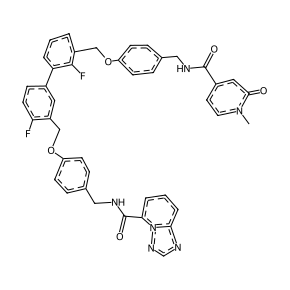 Cn1ccc(C(=O)NCc2ccc(OCc3cccc(-c4ccc(F)c(COc5ccc(CNC(=O)c6cccc7ncnn67)cc5)c4)c3F)cc2)cc1=O